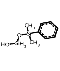 C[Si](C)(O[SiH2]O)c1ccccc1